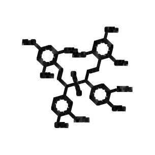 COc1cc(OC)c(C=CC(c2ccc(OC)c(NC(C)=O)c2)S(=O)(=O)C(C=Cc2c(OC)cc(OC)cc2OC)c2ccc(OC)c(NC(C)=O)c2)c(OC)c1